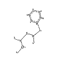 COC(C)CC(C)Cc1ccccc1